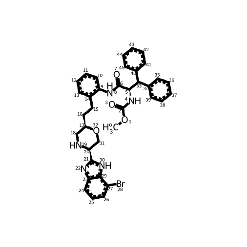 COC(=O)N[C@H](C(=O)Nc1ccccc1CC[C@@H]1CN[C@H](c2nc3cccc(Br)c3[nH]2)CO1)C(c1ccccc1)c1ccccc1